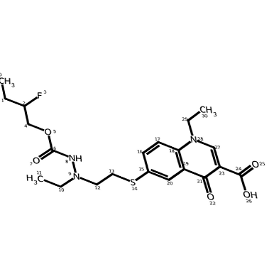 CCC(F)COC(=O)NN(CC)CCSc1ccc2c(c1)c(=O)c(C(=O)O)cn2CC